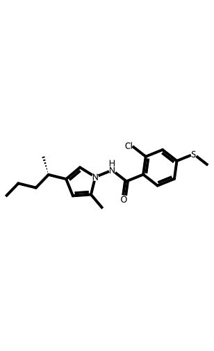 CCC[C@H](C)c1cc(C)n(NC(=O)c2ccc(SC)cc2Cl)c1